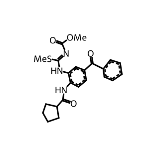 COC(=O)N=C(Nc1cc(C(=O)c2ccccc2)ccc1NC(=O)C1CCCC1)SC